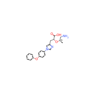 C[C@H](CN)OC(Cc1cn(-c2ccc(Oc3ccccc3)cc2)cn1)C(=O)O